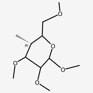 COCC1OC(OC)C(OC)C(OC)[C@@H]1C